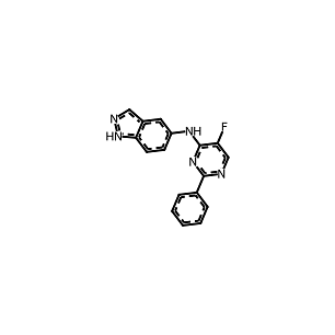 Fc1cnc(-c2ccccc2)nc1Nc1ccc2[nH]ncc2c1